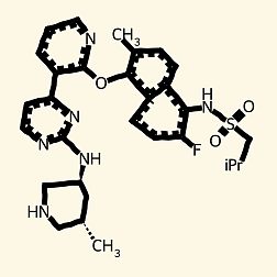 Cc1ccc2c(NS(=O)(=O)CC(C)C)c(F)ccc2c1Oc1ncccc1-c1ccnc(N[C@@H]2CNC[C@@H](C)C2)n1